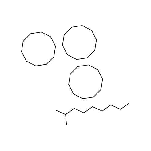 C1CCCCCCCCC1.C1CCCCCCCCC1.C1CCCCCCCCC1.CCCCCCCC(C)C